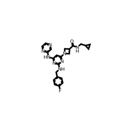 O=C(NCC1CC1)C1CN(c2cc(Nc3cnccn3)nc(NCc3ccc(F)cc3)n2)C1